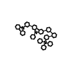 c1ccc(-n2c3ccc(-c4cccc(-c5ccccc5-c5cccc([Si](c6ccccc6)(c6ccccc6)c6ccccc6)c5)c4)cc3c3ccc(-c4cccc(-n5c6ccccc6c6ccccc65)c4)cc32)cc1